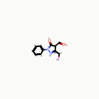 O=CC1C(=O)N(c2ccccc2)N=C1CI